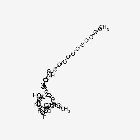 COCCOCCOCCOCCOCCOCCOCCOCCOCCOCCOCCC(=O)NCc1ccc(-c2nccc(COc3ccc4cc3C[C@H](C(=O)O)Oc3ncnc5sc(-c6ccc(F)cc6)c(c35)-c3c(C)c(Cl)c(c(Cl)c3C)O[C@H](CN3CCN(C)CC3)CO4)n2)cc1